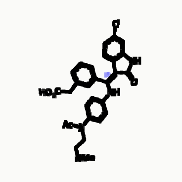 CNCCN(C(C)=O)c1ccc(N/C(=C2\C(=O)Nc3cc(Cl)ccc32)c2cccc(CC(=O)O)c2)cc1